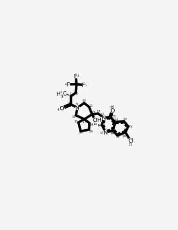 C[C@H](CC(F)(F)F)C(=O)N1CCC(O)(Cn2cnc3cc(Cl)ccc3c2=O)C2(CCCC2)C1